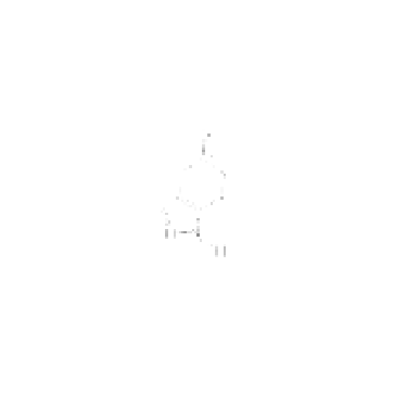 Cn1ncc2c1CC[S+]([O-])C2